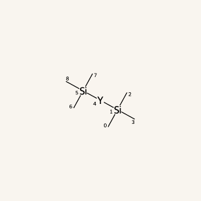 C[Si](C)(C)[Y][Si](C)(C)C